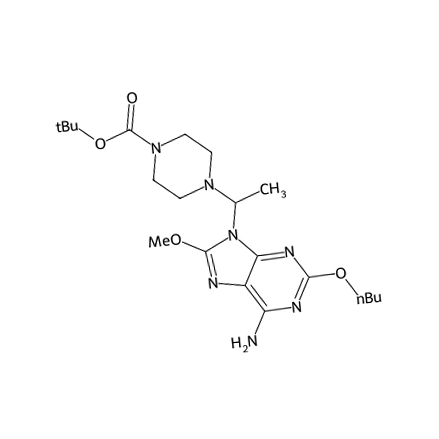 CCCCOc1nc(N)c2nc(OC)n(C(C)N3CCN(C(=O)OC(C)(C)C)CC3)c2n1